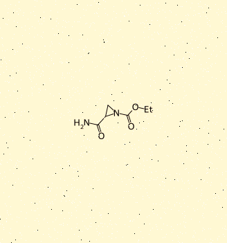 CCOC(=O)N1CC1C(N)=O